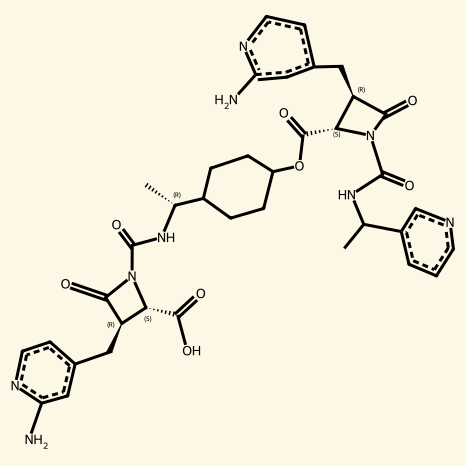 CC(NC(=O)N1C(=O)[C@H](Cc2ccnc(N)c2)[C@H]1C(=O)OC1CCC([C@@H](C)NC(=O)N2C(=O)[C@H](Cc3ccnc(N)c3)[C@H]2C(=O)O)CC1)c1cccnc1